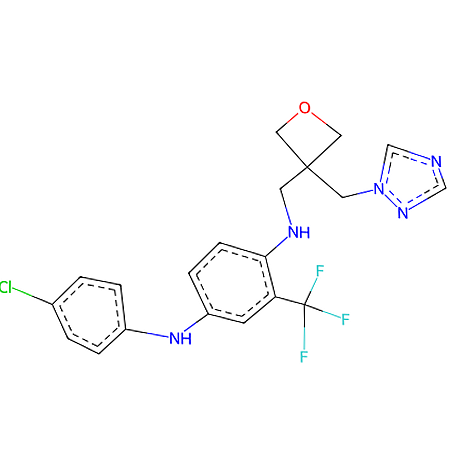 FC(F)(F)c1cc(Nc2ccc(Cl)cc2)ccc1NCC1(Cn2cncn2)COC1